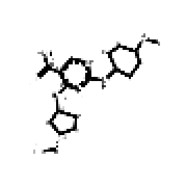 COC1CCC(Nc2ncc(C(N)=O)c(NC3CC[C@H](CO)C3)n2)CC1